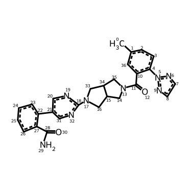 Cc1ccc(-n2nccn2)c(C(=O)N2CC3CN(c4ncc(-c5ccccc5C(N)=O)cn4)CC3C2)c1